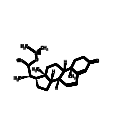 C[C@H](C(O[SiH](C)C)C(C)(C)C)[C@H]1CC[C@H]2[C@@H]3C=CC4=CC(=O)CC[C@]4(C)[C@H]3CC[C@]12C